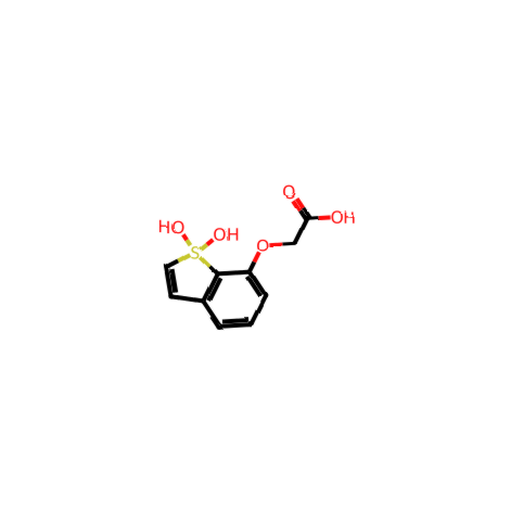 O=C(O)COc1cccc2c1S(O)(O)C=C2